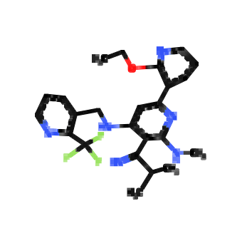 CCOc1ncccc1-c1cc(NCc2cccnc2C(F)(F)F)c(C(=N)C(C)C)c(NC)n1